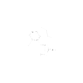 CCCC.Cc1ccccc1CO[PH](=O)O